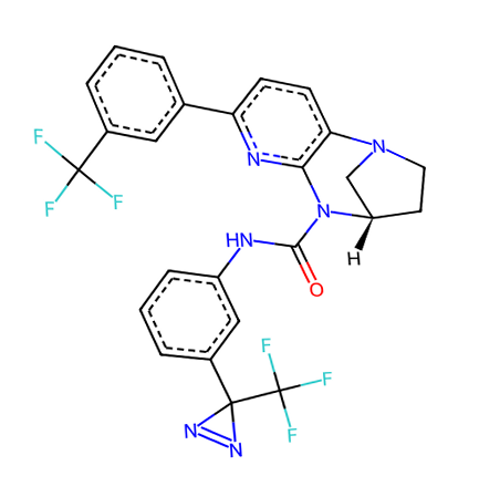 O=C(Nc1cccc(C2(C(F)(F)F)N=N2)c1)N1c2nc(-c3cccc(C(F)(F)F)c3)ccc2N2CC[C@H]1C2